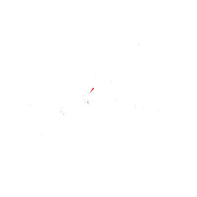 C#C[C@H]1C[C@H](O[Si](c2ccccc2)(c2ccccc2)C(C)(C)C)CN1C(=O)O